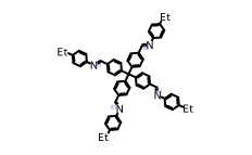 CCc1ccc(/N=C/c2ccc(C(c3ccc(/C=N/c4ccc(CC)cc4)cc3)(c3ccc(/C=N/c4ccc(CC)cc4)cc3)c3ccc(/C=N/c4ccc(CC)cc4)cc3)cc2)cc1